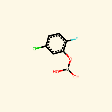 OB(O)Oc1cc(Cl)ccc1F